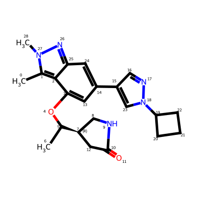 Cc1c2c(OC(C)[C@H]3CNC(=O)C3)cc(-c3cnn(C4CCC4)c3)cc2nn1C